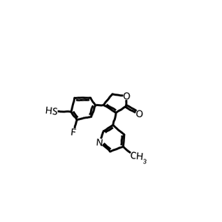 Cc1cncc(C2=C(c3ccc(S)c(F)c3)COC2=O)c1